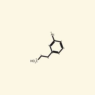 CC(=O)c1cccc(CCC(=O)O)c1